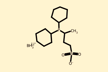 B.CC(CCS(=O)(=O)[O-])P(C1CCCCC1)C1CCCCC1.[Li+]